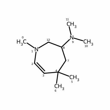 CN1C=CC(C)(C)CC(N(C)C)C1